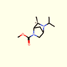 COC(=O)N1CC2CC1[C@@H](C)N2C(C)C